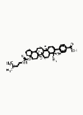 CN(C)CCNC(=O)NC12CCCC1C1CCC3C4(C)CC=C(c5ccc(C(=O)O)cc5)C(C)(C)C4CCC3(C)[C@]1(C)CC2